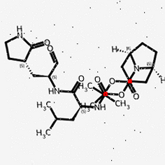 CC(C)C[C@H](NC(=O)OC1C[C@H]2CC[C@@H](C1)N2C(=O)OC(C)(C)C)C(=O)N[C@H](C=O)C[C@@H]1CCNC1=O